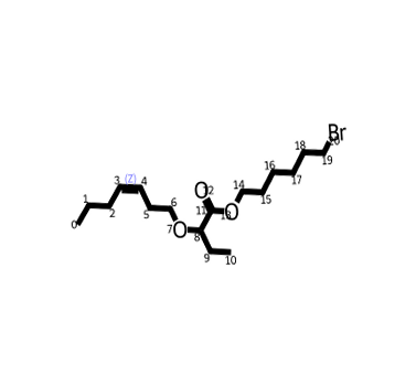 CCC/C=C\CCOC(CC)C(=O)OCCCCCCBr